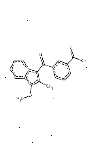 COc1c(C)c(C(=O)c2cccc(C(=O)O)c2)n2ccccc12